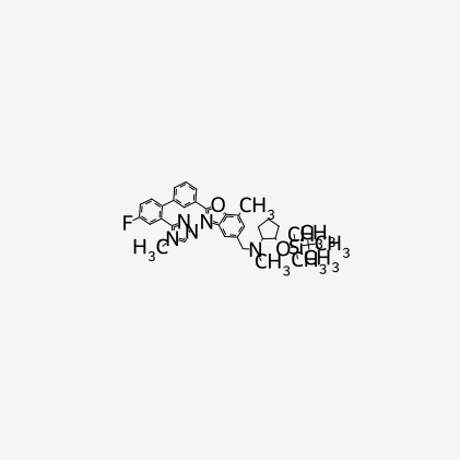 Cc1cc(CN(C)[C@@H]2CCC[C@@H]2O[Si](C)(C)C(C)(C)C)cc2nc(-c3cccc(-c4ccc(F)cc4-c4nncn4C)c3)oc12